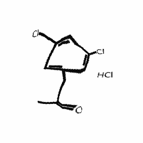 CC(=O)c1cc(Cl)cc(Cl)c1.Cl